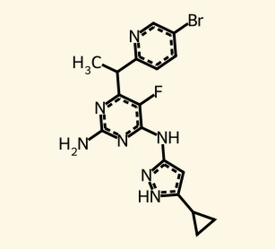 CC(c1ccc(Br)cn1)c1nc(N)nc(Nc2cc(C3CC3)[nH]n2)c1F